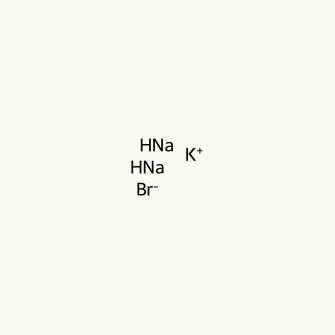 [Br-].[K+].[NaH].[NaH]